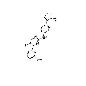 O=C1CCCN1c1ccc(Nc2ncc(F)c(-c3cccc(C4CC4)c3)n2)cn1